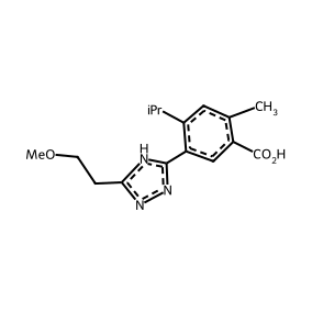 COCCc1nnc(-c2cc(C(=O)O)c(C)cc2C(C)C)[nH]1